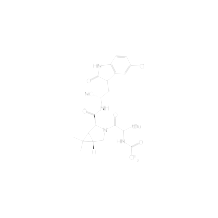 CC(C)(C)C(NC(=O)C(F)(F)F)C(=O)N1C[C@H]2C([C@H]1C(=O)N[C@H](C#N)CC1C(=O)Nc3ccc(Cl)cc31)C2(C)C